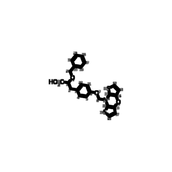 O=C(O)C(Cc1ccc(OCN2c3sccc3Oc3ccsc32)cc1)OCc1ccccc1